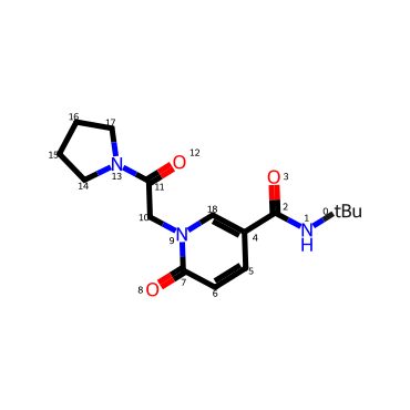 CC(C)(C)NC(=O)c1ccc(=O)n(CC(=O)N2CCCC2)c1